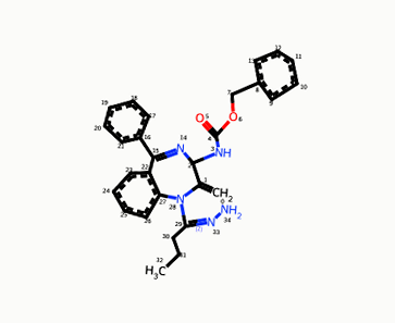 C=C1C(NC(=O)OCc2ccccc2)N=C(c2ccccc2)c2ccccc2N1/C(CCC)=N\N